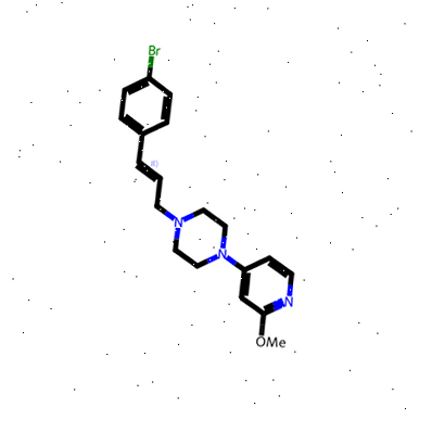 COc1cc(N2CCN(C/C=C/c3ccc(Br)cc3)CC2)ccn1